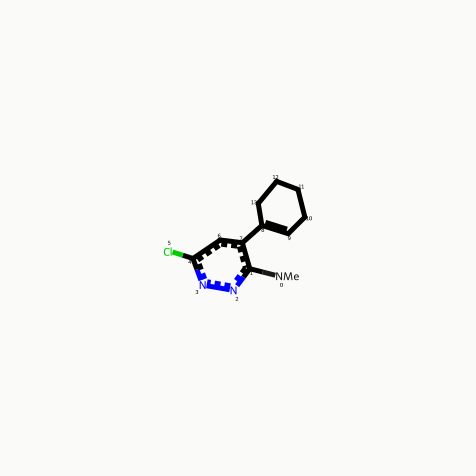 CNc1nnc(Cl)cc1C1=CCCCC1